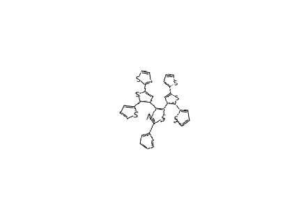 c1ccc(-c2nc(-c3cc(-c4cccs4)sc3-c3cccs3)c(-c3cc(-c4cccs4)sc3-c3cccs3)s2)cc1